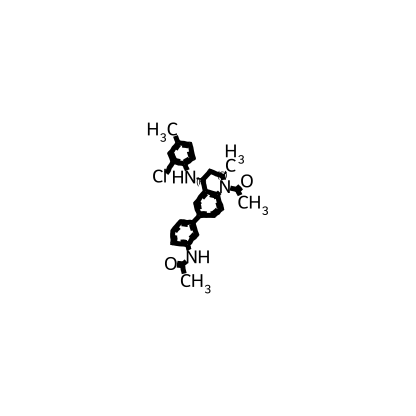 CC(=O)Nc1cccc(-c2ccc3c(c2)[C@H](Nc2ccc(C)cc2Cl)C[C@H](C)N3C(C)=O)c1